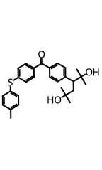 Cc1ccc(Sc2ccc(C(=O)c3ccc(C(CC(C)(C)O)C(C)(C)O)cc3)cc2)cc1